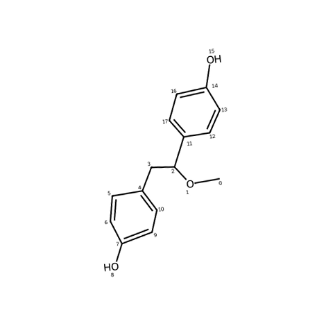 COC(Cc1ccc(O)cc1)c1ccc(O)cc1